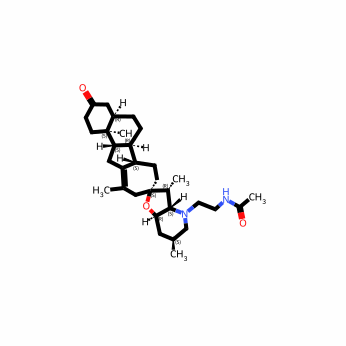 CC(=O)NCCN1C[C@@H](C)C[C@H]2O[C@]3(CC[C@@H]4C(=C(C)C3)C[C@H]3[C@H]4CC[C@@H]4CC(=O)CC[C@@]43C)[C@H](C)[C@@H]21